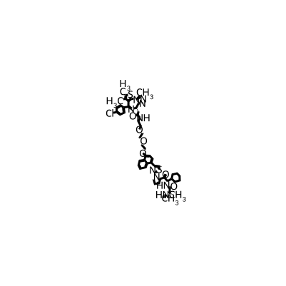 CN[C@@H](C)C(=O)NC(C(=O)C1CCCN1c1nc(-c2ccc(OCCOCCOCCNC(=O)C[C@@H]3N=C(c4ccc(Cl)cc4)c4c(sc(C)c4C)-n4c(C)nnc43)c3ccccc23)cs1)C1CCCCC1